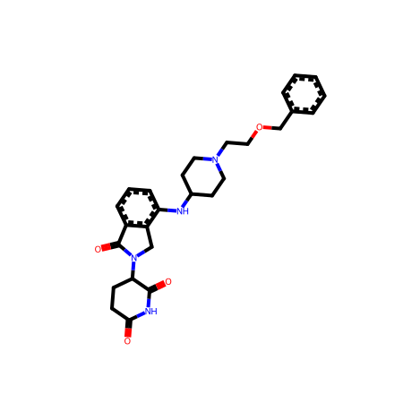 O=C1CCC(N2Cc3c(NC4CCN(CCOCc5ccccc5)CC4)cccc3C2=O)C(=O)N1